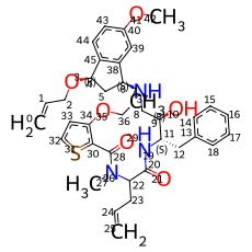 C=CCO[C@@H]1C[C@H](NC[C@@H](O)[C@H](Cc2ccccc2)NC(=O)C(CC=C)N(C)C(=O)c2sccc2OCC)c2cc(OC)ccc21